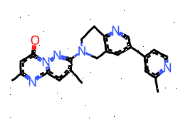 Cc1cc(-c2cnc3c(c2)CN(c2nn4c(=O)cc(C)nc4cc2C)CC3)ccn1